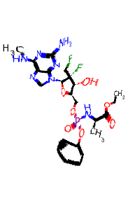 CCOC(=O)[C@@H](C)N[P@@](=O)(OC[C@H]1O[C@@H](n2cnc3c(NC)nc(N)nc32)[C@@](F)(CF)[C@@H]1O)Oc1ccccc1